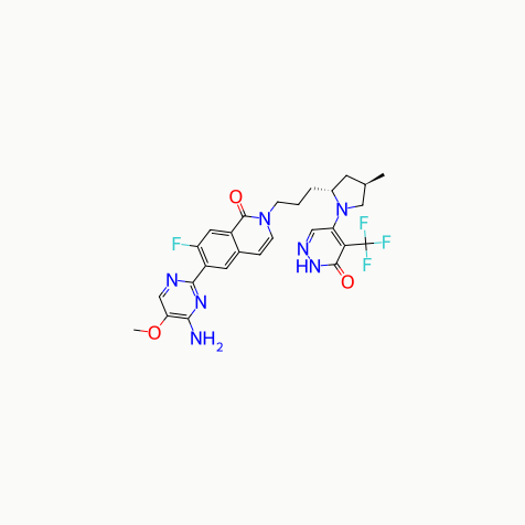 COc1cnc(-c2cc3ccn(CCC[C@@H]4C[C@@H](C)CN4c4cn[nH]c(=O)c4C(F)(F)F)c(=O)c3cc2F)nc1N